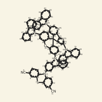 N#Cc1ccc2c(c1)Sc1cc(C#N)ccc1N2c1ccc2c(c1)c1ccccc1n2-c1ccc2c(c1)Oc1cc(-n3c4ccccc4c4ccccc43)ccc1C21c2cc(-n3c4ccccc4c4ccccc43)cnc2-c2ncc(-n3c4ccccc4c4ccccc43)cc21